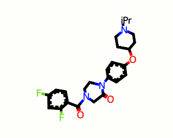 CC(C)N1CCC(Oc2ccc(N3CCN(C(=O)c4ccc(F)cc4F)CC3=O)cc2)CC1